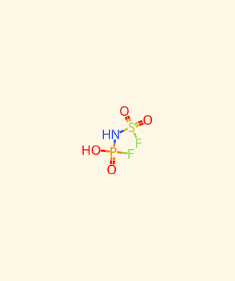 O=P(O)(F)NS(=O)(=O)F